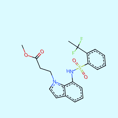 COC(=O)CCn1ccc2cccc(NS(=O)(=O)c3ccccc3C(C)(F)F)c21